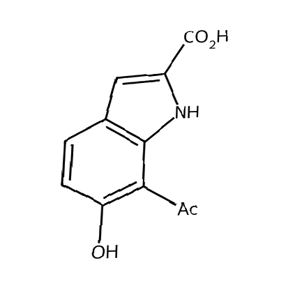 CC(=O)c1c(O)ccc2cc(C(=O)O)[nH]c12